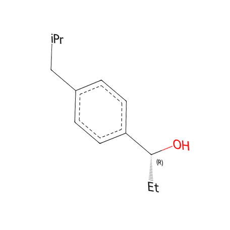 CC[C@@H](O)c1ccc(CC(C)C)cc1